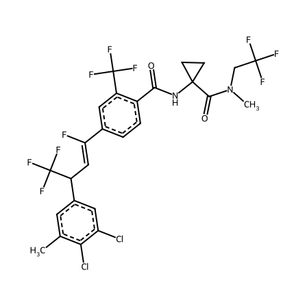 Cc1cc(C(C=C(F)c2ccc(C(=O)NC3(C(=O)N(C)CC(F)(F)F)CC3)c(C(F)(F)F)c2)C(F)(F)F)cc(Cl)c1Cl